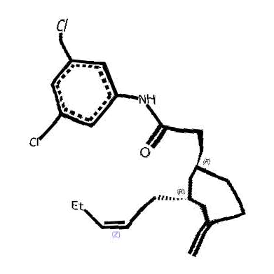 C=C1CC[C@H](CC(=O)Nc2cc(Cl)cc(Cl)c2)[C@H]1C/C=C\CC